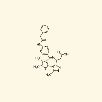 Cc1sc2c(c1C)C(c1ccc(NC(=O)Cc3ccccc3)cc1)=N[C@@H](CC(=O)O)c1nnc(C)n1-2